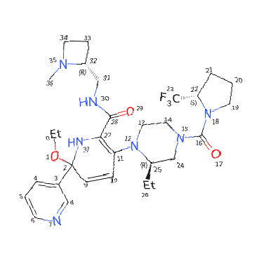 CCOC1(c2cccnc2)C=CC(N2CCN(C(=O)N3CCC[C@H]3C(F)(F)F)C[C@H]2CC)=C(C(=O)NC[C@H]2CCN2C)N1